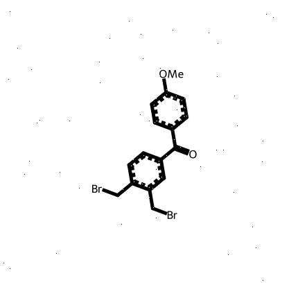 COc1ccc(C(=O)c2ccc(CBr)c(CBr)c2)cc1